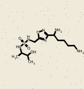 CC(O)C(C)NS(=O)(=O)NCc1nc(C(N)CCCCN)no1